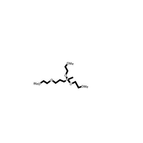 COCCOCCC[Si](C)(OCCOC)OCCOC